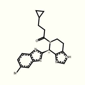 O=C(CCC1CC1)N1CCc2[nH]cnc2[C@H]1c1nc2ccc(Br)cc2s1